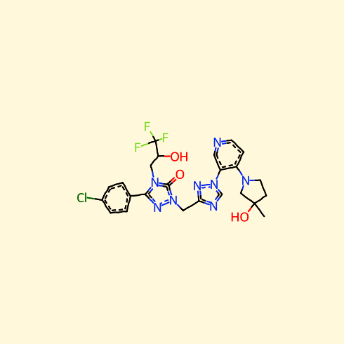 CC1(O)CCN(c2ccncc2-n2cnc(Cn3nc(-c4ccc(Cl)cc4)n(CC(O)C(F)(F)F)c3=O)n2)C1